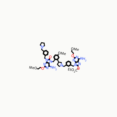 CCOC(=O)Oc1nc2c(N)nc(OCCOC)nc2n1Cc1cccc(CN2CCC(c3cc(OC)ccc3Cn3c(=O)n(Cc4cccc(CN5CCCC5)c4)c4nc(OCCOC)nc(N)c43)C2)c1